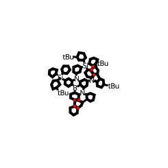 CC(C)(C)c1cccc([Si](c2ccccc2)(c2ccccc2)c2cccc(N3c4cc([Si](c5ccccc5)(c5ccccc5)c5cccc(C(C)(C)C)c5)ccc4B4c5ccc(-c6ccccc6)cc5N(c5ccccc5-c5ccccc5)c5cc(-n6c7ccc(C(C)(C)C)cc7c7cc(C(C)(C)C)ccc76)cc3c54)c2)c1